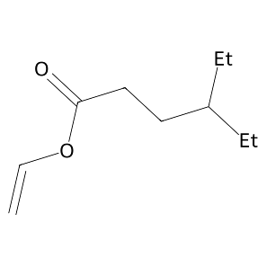 C=COC(=O)CCC(CC)CC